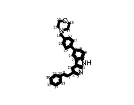 C(=Cc1cnc2[nH]c3ccc(-c4ccc(CN5CCOCC5)cc4)cc3c2c1)c1ccccc1